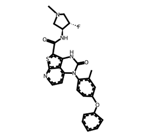 Cc1cc(Oc2ccccc2)ccc1N1C(=O)Nc2c(C(=O)N[C@H]3CN(C)C[C@@H]3F)sc3nccc1c23